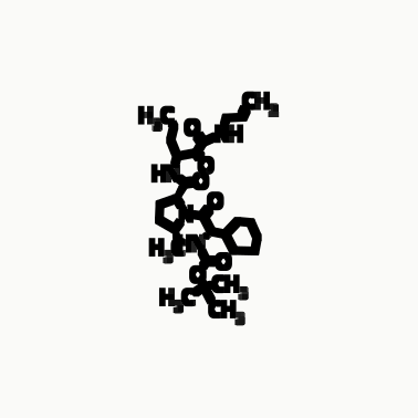 C=CCNC(=O)C(=O)C(CCC)NC(=O)[C@@H]1CC[C@H](C)N1C(=O)[C@@H](NC(=O)OC(C)(C)C)C1CCCCC1